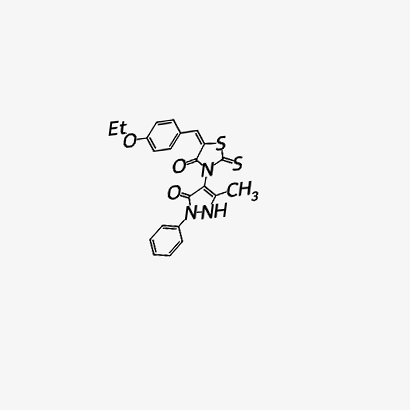 CCOc1ccc(C=C2SC(=S)N(c3c(C)[nH]n(-c4ccccc4)c3=O)C2=O)cc1